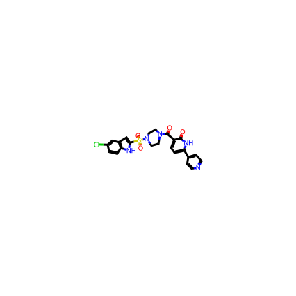 O=C(c1ccc(-c2ccncc2)[nH]c1=O)N1CCN(S(=O)(=O)c2cc3cc(Cl)ccc3[nH]2)CC1